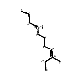 CCCNCCC/C=C(/C)CC